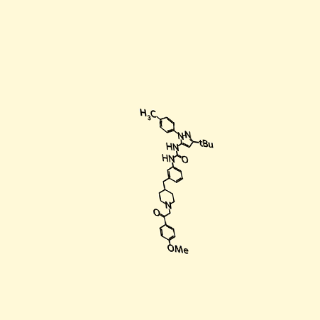 COc1ccc(C(=O)CN2CCC(Cc3cccc(NC(=O)Nc4cc(C(C)(C)C)nn4-c4ccc(C)cc4)c3)CC2)cc1